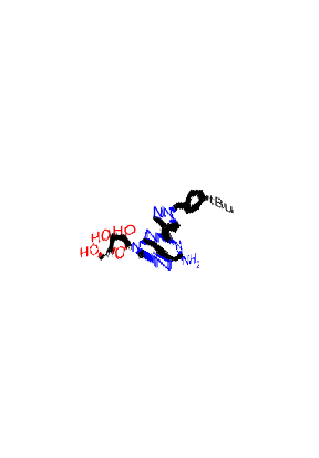 CC(C)(C)c1ccc(Cn2cc(-c3nc(N)c4ncn([C@@H]5O[C@H](CO)[C@H](O)[C@H]5O)c4n3)cn2)cc1